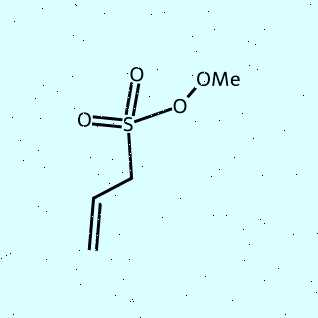 C=CCS(=O)(=O)OOC